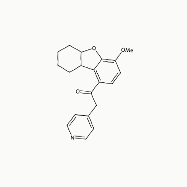 COc1ccc(C(=O)Cc2ccncc2)c2c1OC1CCCCC21